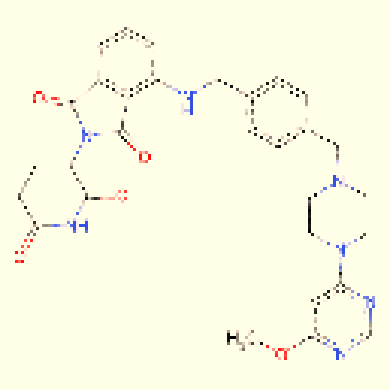 COc1cc(N2CCN(Cc3ccc(CNc4cccc5c4C(=O)N(C4CCC(=O)NC4=O)C5=O)cc3)CC2)ncn1